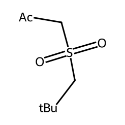 CC(=O)CS(=O)(=O)CC(C)(C)C